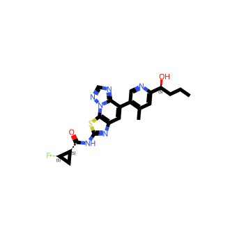 CCC[C@H](O)c1cc(C)c(-c2cc3nc(NC(=O)[C@@H]4C[C@@H]4F)sc3n3ncnc23)cn1